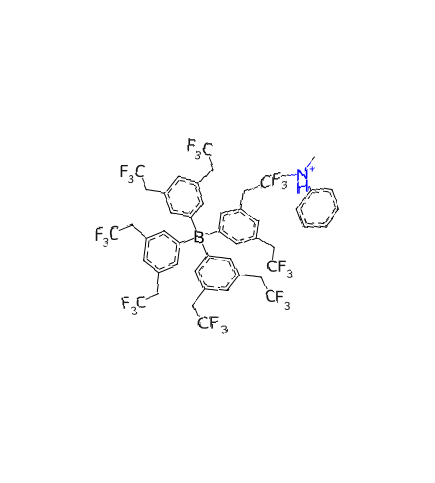 C[NH+](C)c1ccccc1.FC(F)(F)Cc1cc(CC(F)(F)F)cc([B-](c2cc(CC(F)(F)F)cc(CC(F)(F)F)c2)(c2cc(CC(F)(F)F)cc(CC(F)(F)F)c2)c2cc(CC(F)(F)F)cc(CC(F)(F)F)c2)c1